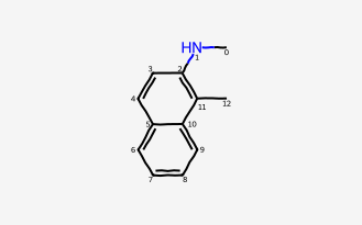 CNc1ccc2ccccc2c1C